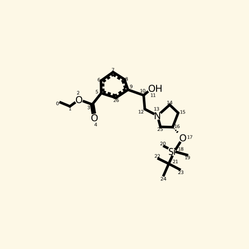 CCOC(=O)c1cccc(C(O)CN2CC[C@H](O[Si](C)(C)C(C)(C)C)C2)c1